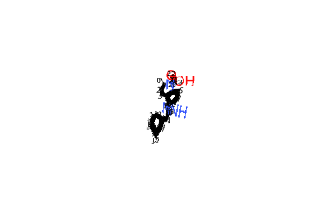 C[C@H]1CCc2c(ccc3[nH]c(Cc4ccccc4)nc23)N1C(=O)O